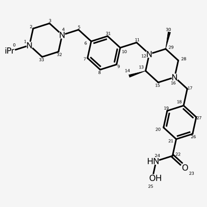 CC(C)N1CCN(Cc2cccc(CN3[C@H](C)CN(Cc4ccc(C(=O)NO)cc4)C[C@@H]3C)c2)CC1